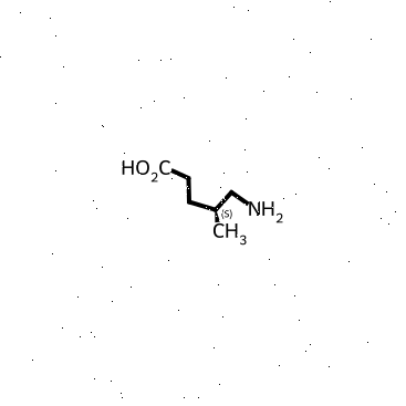 C[C@H](CN)CCC(=O)O